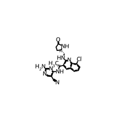 C[C@H](Nc1nc(N)ncc1C#N)c1cc2cccc(Cl)c2nc1NC[C@@H]1CCC(=O)N1